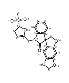 CS(=O)(=O)[C@H]1CC=C(CN2C(=O)C3(COc4cc5c(cc43)OCO5)c3ccccc32)O1